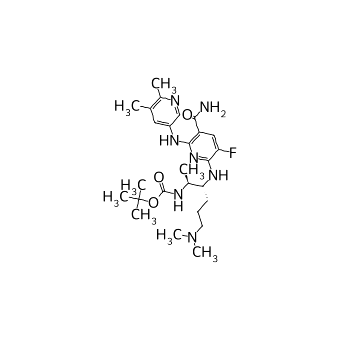 Cc1cc(Nc2nc(N[C@H](CCCN(C)C)[C@H](C)NC(=O)OC(C)(C)C)c(F)cc2C(N)=O)cnc1C